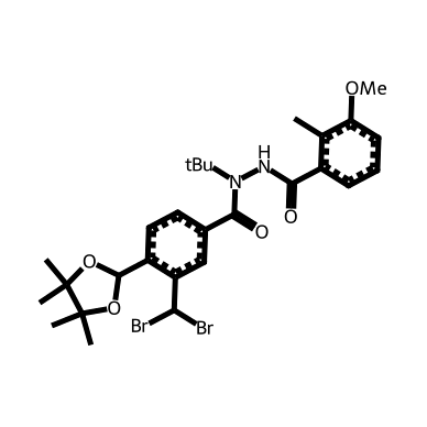 COc1cccc(C(=O)NN(C(=O)c2ccc(C3OC(C)(C)C(C)(C)O3)c(C(Br)Br)c2)C(C)(C)C)c1C